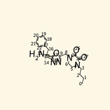 CCCCN1CCN(Cc2nnc([C@@](C)(N)Cc3ccccc3)o2)C(=O)C1=O